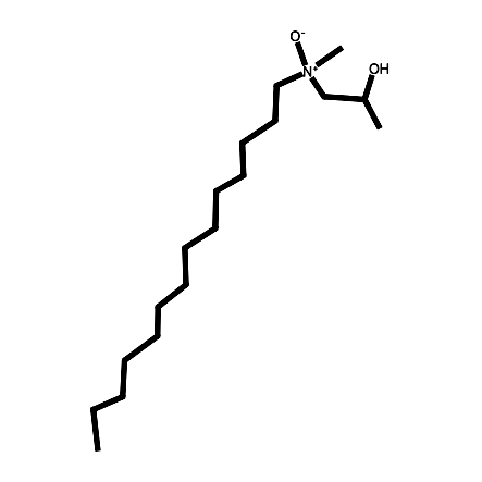 CCCCCCCCCCCCCC[N+](C)([O-])CC(C)O